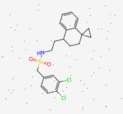 O=S(=O)(Cc1ccc(Cl)c(Cl)c1)NCCC1CCC2(CC2)c2ccccc21